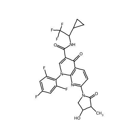 CC1C(=O)N(c2ccc3c(=O)c(C(=O)NC(C4CC4)C(F)(F)F)cn(-c4c(F)cc(F)cc4F)c3n2)CC1O